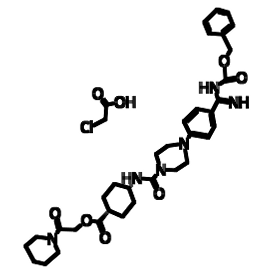 N=C(NC(=O)OCc1ccccc1)c1ccc(N2CCN(C(=O)N[C@H]3CC[C@H](C(=O)OCC(=O)N4CCCCC4)CC3)CC2)cc1.O=C(O)CCl